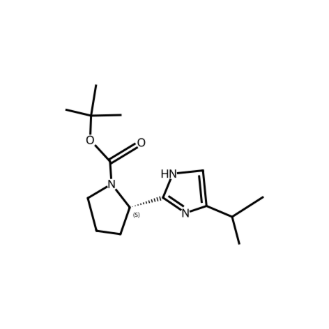 CC(C)c1c[nH]c([C@@H]2CCCN2C(=O)OC(C)(C)C)n1